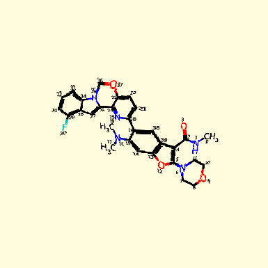 CNC(=O)c1c(N2CCOCC2)oc2cc(N(C)C)c(-c3ccc4c(n3)-c3cc5c(F)cccc5n3CO4)cc12